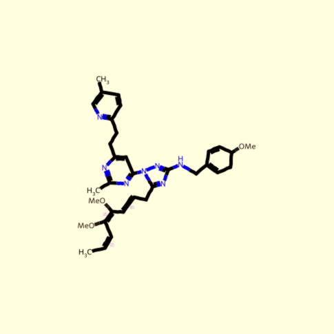 C\C=C/C(OC)=C(\C=C\Cc1nc(NCC2=CCC(OC)C=C2)nn1-c1cc(CCc2ccc(C)cn2)nc(C)n1)OC